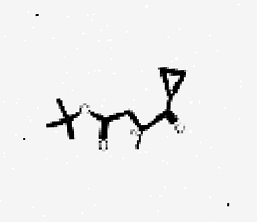 C[C@@H](CC(=O)OC(C)(C)C)C(=O)C1CC1